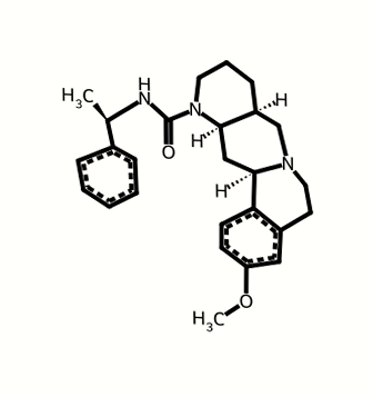 COc1ccc2c(c1)CCN1C[C@@H]3CCCN(C(=O)N[C@H](C)c4ccccc4)[C@@H]3C[C@H]21